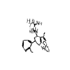 Cc1ccccc1C1CC(=NNC(=N)N)c2c(C)coc2C1.Cl